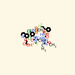 COc1nc(C)nc(NC(=O)NS(=O)(=O)c2ccccc2CCC(F)(F)F)n1.Cc1nn(-c2cc(NS(C)(=O)=O)c(Cl)cc2Cl)c(=O)n1C(F)F.O=C(O)COc1ccc(Cl)c2cccnc12